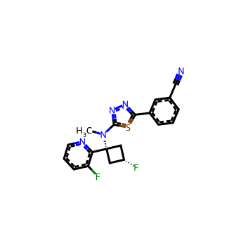 CN(c1nnc(-c2cccc(C#N)c2)s1)[C@]1(c2ncccc2F)C[C@H](F)C1